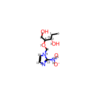 CC[C@H](O)C(CO)OCn1ccnc1[N+](=O)[O-]